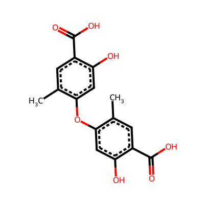 Cc1cc(C(=O)O)c(O)cc1Oc1cc(O)c(C(=O)O)cc1C